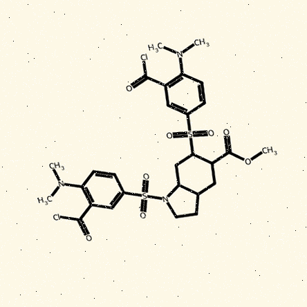 COC(=O)C1CC2CCN(S(=O)(=O)c3ccc(N(C)C)c(C(=O)Cl)c3)C2CC1S(=O)(=O)c1ccc(N(C)C)c(C(=O)Cl)c1